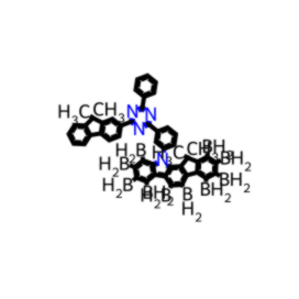 Bc1c(B)c(B)c2c(c1B)-c1c(B)c(B)c3c4c(B)c(B)c(B)c(B)c4n(-c4cccc(-c5nc(-c6ccccc6)nc(-c6ccc7c(c6)C(C)(C)c6ccccc6-7)n5)c4)c3c1C2(C)C